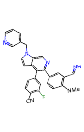 CNc1ccc(-c2ncc3c(ccn3Cc3cccnc3)c2-c2ccc(C#N)c(F)c2)cc1C=N